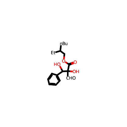 CCCCC(CC)COC(=O)C(O)(C=O)C(O)c1ccccc1